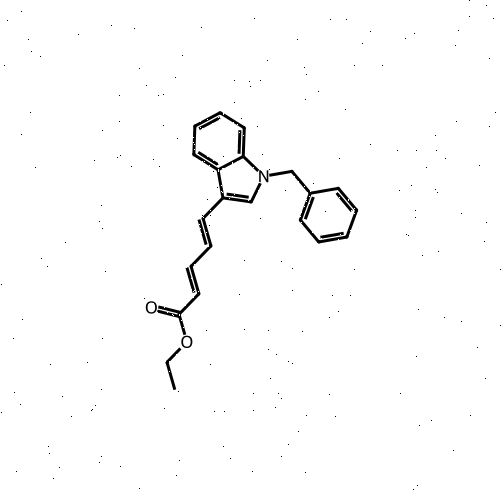 CCOC(=O)C=CC=Cc1cn(Cc2ccccc2)c2ccccc12